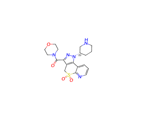 O=C(c1nn([C@H]2CCCNC2)c2c1CS(=O)(=O)c1ncccc1-2)N1CCOCC1